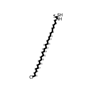 S=C(S)NCCCCCCCCCCCCCCCCCCCCCCCCCCCCCl